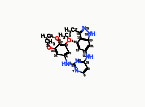 COc1cc(Nc2nccc(Nc3ccc4c(C)n[nH]c4c3)n2)cc(OC)c1OC